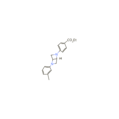 CCOC(=O)c1ccc(N2CC3[C@@H]2CN3c2cccc(C)c2)cc1